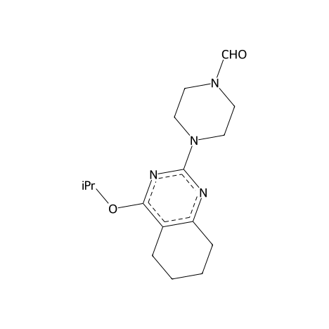 CC(C)Oc1nc(N2CCN(C=O)CC2)nc2c1CCCC2